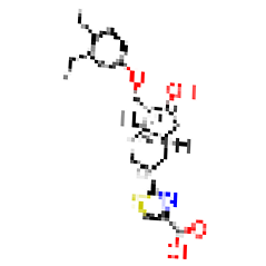 CCc1ccc(OC[C@@H]2[C@H]3CC[C@H](c4nc(C(=O)O)cs4)C[C@H]3C[C@@H]2O)cc1CC